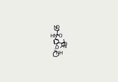 Cc1noc(C)c1-c1cc(NC(=O)c2cnoc2)ccc1OC[C@H]1CCCCN1